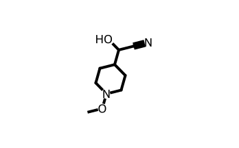 CON1CCC(C(O)C#N)CC1